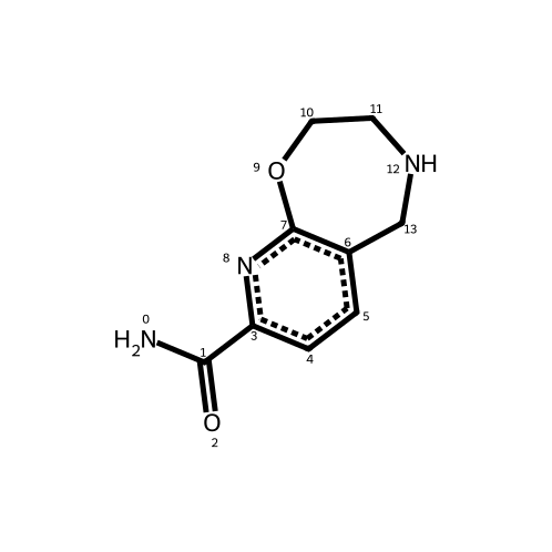 NC(=O)c1ccc2c(n1)OCCNC2